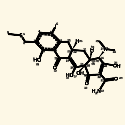 CSCc1cc(I)c2c(c1O)C(=O)C1=C(O)[C@]3(O)C(=O)C(C(N)=O)=C(O)[C@@H](N(C)C)[C@@H]3C[C@@H]1C2